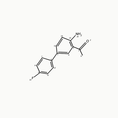 CC(=O)c1cc(-c2ccc(F)cc2)ccc1N